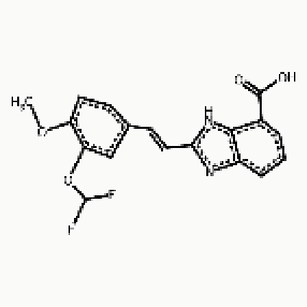 COc1ccc(C=Cc2nc3cccc(C(=O)O)c3[nH]2)cc1OC(F)F